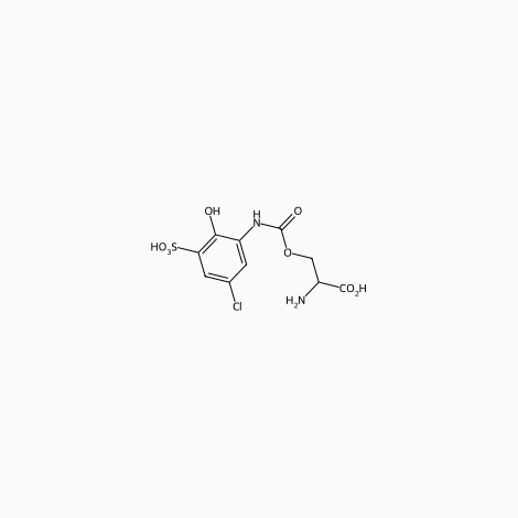 NC(COC(=O)Nc1cc(Cl)cc(S(=O)(=O)O)c1O)C(=O)O